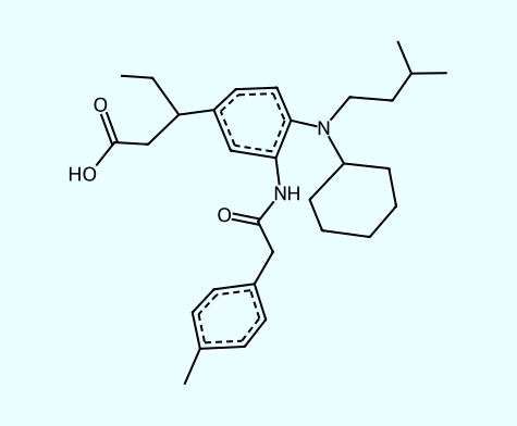 CCC(CC(=O)O)c1ccc(N(CCC(C)C)C2CCCCC2)c(NC(=O)Cc2ccc(C)cc2)c1